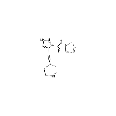 C(#CC1CCNCC1)c1c[nH]nc1-c1nc2ccccc2[nH]1